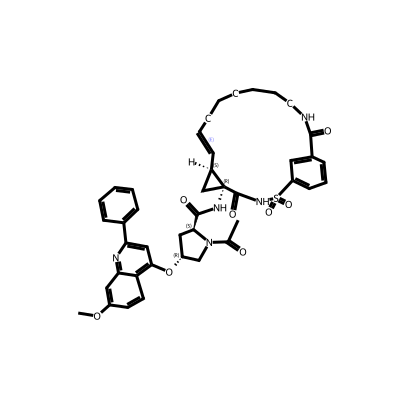 COc1ccc2c(O[C@@H]3C[C@@H](C(=O)N[C@]45C[C@H]4/C=C/CCCCCCNC(=O)c4cccc(c4)S(=O)(=O)NC5=O)N(C(C)=O)C3)cc(-c3ccccc3)nc2c1